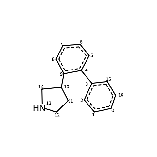 c1ccc(-c2ccccc2C2CCNC2)cc1